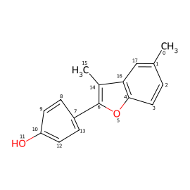 Cc1ccc2oc(-c3ccc(O)cc3)c(C)c2c1